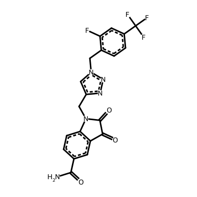 NC(=O)c1ccc2c(c1)C(=O)C(=O)N2Cc1cn(Cc2ccc(C(F)(F)F)cc2F)nn1